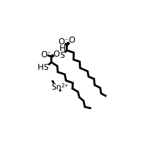 CCCCCCCCCCCC(S)C(=O)[O-].CCCCCCCCCCCC(S)C(=O)[O-].[CH3][Sn+2][CH3]